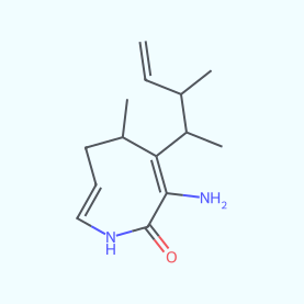 C=CC(C)C(C)/C1=C(\N)C(=O)N/C=C/CC1C